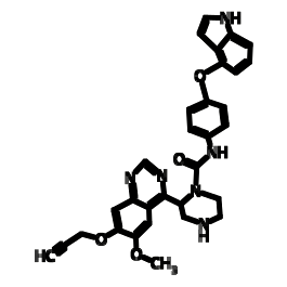 C#CCOc1cc2ncnc(C3CNCCN3C(=O)Nc3ccc(Oc4cccc5[nH]ccc45)cc3)c2cc1OC